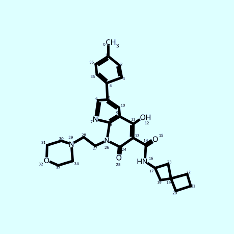 Cc1ccc(-c2cnc3c(c2)c(O)c(C(=O)NC2CC4(CCC4)C2)c(=O)n3CCN2CCOCC2)cc1